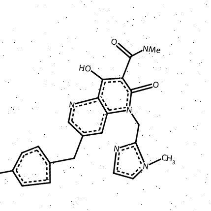 CNC(=O)c1c(O)c2ncc(Cc3ccc(F)cc3)cc2n(Cc2nccn2C)c1=O